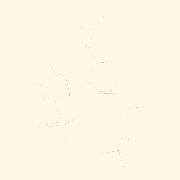 CC(C)NCC(O)c1ccc(NS(N)(=O)=O)cc1.Cc1ccc(S(=O)(=O)O)cc1